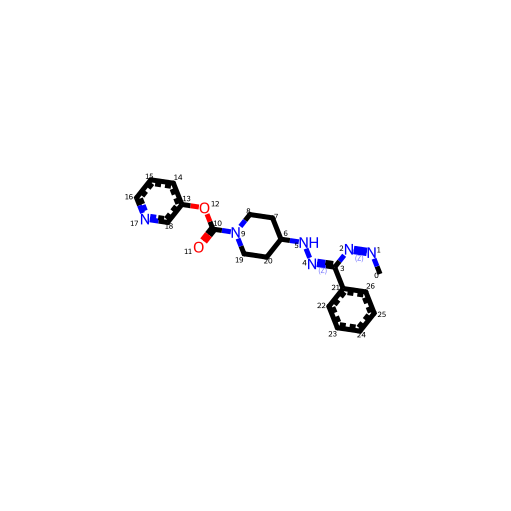 C/N=N\C(=N/NC1CCN(C(=O)Oc2cccnc2)CC1)c1ccccc1